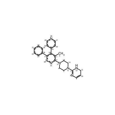 Cc1c(N2CCN(C3=NC=CCN3)CC2)nnc(-c2ccccc2)c1-c1ccncc1